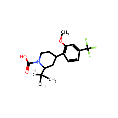 COc1cc(C(F)(F)F)ccc1C1CCN(C(=O)O)C(C(C)(C)C)C1